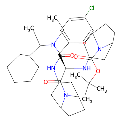 CCN(C(=O)NC1CC2CCC(C1)N2C(=O)[C@@H](Cc1ccc(Cl)cc1)NC1CC2CCC(C1)N2C(=O)OC(C)(C)C)C(C)C1CCCCC1